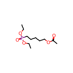 CCOP(=O)(CCCCCOC(C)=O)OCC